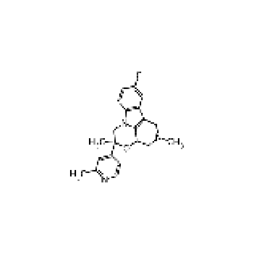 Cc1cc(C2(C)Cn3c4c(c5cc(Cl)ccc53)CN(C)CC4O2)ccn1